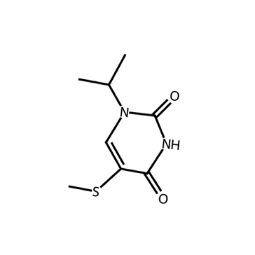 CSc1cn(C(C)C)c(=O)[nH]c1=O